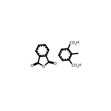 Cc1c(C(=O)O)cccc1C(=O)O.O=C1OC(=O)c2ccccc21